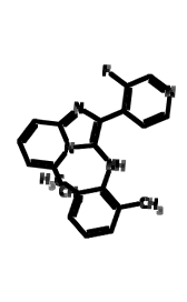 Cc1cccc(C)c1Nc1c(-c2ccncc2F)nc2cccc(C)n12